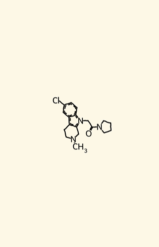 CN1CCc2c(n(CC(=O)N3CCCC3)c3ccc(Cl)cc23)C1